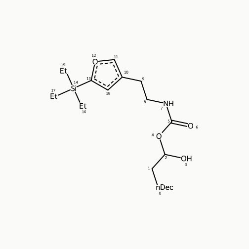 CCCCCCCCCCCC(O)OC(=O)NCCc1coc([Si](CC)(CC)CC)c1